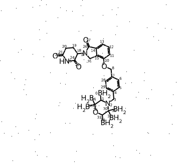 BC1N(Cc2ccc(COc3cccc4c3CN(C3CCC(=O)NC3=O)C4=O)cc2)C(B)(B)C(B)OC1(B)B